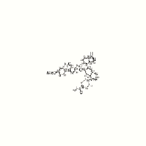 C=CC(=O)N1CCN(c2ncnc3cc(-c4c(OCc5cnn(-c6ccc(OC)cc6)c5C(F)(F)F)ccc5[nH]ncc45)c(Cl)cc23)CC1